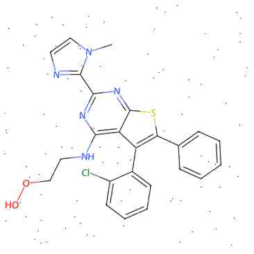 Cn1ccnc1-c1nc(NCCOO)c2c(-c3ccccc3Cl)c(-c3ccccc3)sc2n1